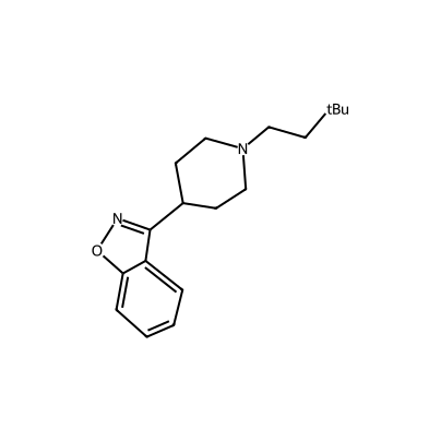 CC(C)(C)CCN1CCC(c2noc3ccccc23)CC1